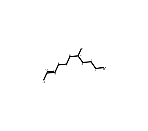 [CH2]CCCC(C)CCC/C=C/C